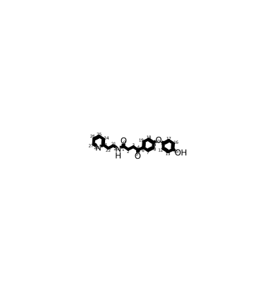 O=C(CCC(=O)c1ccc(Oc2ccc(O)cc2)cc1)NCCc1ccccn1